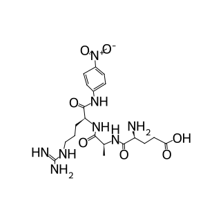 C[C@H](NC(=O)[C@@H](N)CCC(=O)O)C(=O)N[C@@H](CCCNC(=N)N)C(=O)Nc1ccc([N+](=O)[O-])cc1